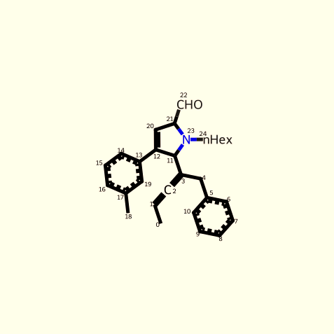 CC=C=C(Cc1ccccc1)C1C(c2cccc(C)c2)=CC(C=O)N1CCCCCC